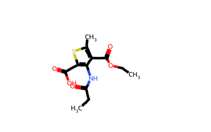 CCOC(=O)c1c(C)sc(C(=O)O)c1NC(=O)CC